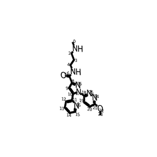 CNCCCNC(=O)c1cc(-c2ccccn2)n(-c2ccc(OC)nn2)n1